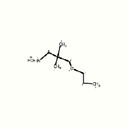 CCCOCC(C)(C)CNO